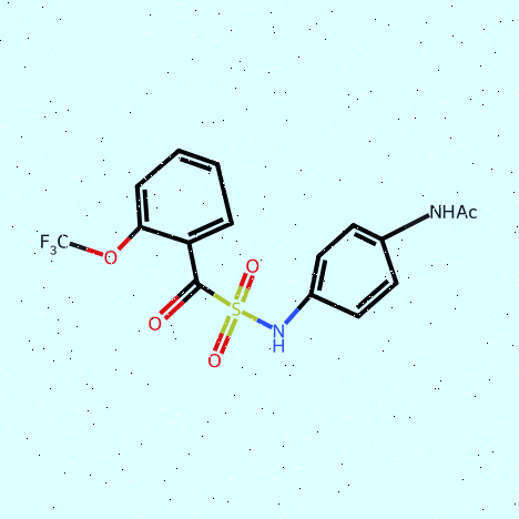 CC(=O)Nc1ccc(NS(=O)(=O)C(=O)c2ccccc2OC(F)(F)F)cc1